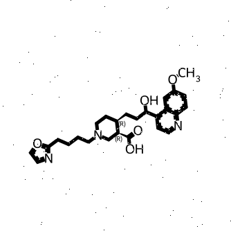 COc1ccc2nccc(C(O)CC[C@@H]3CCN(CCCCc4ncco4)C[C@@H]3C(=O)O)c2c1